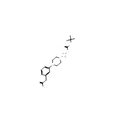 CC(C)(C)OC(=O)NS(=O)(=O)N1CCN(c2cccc(CC(=O)O)c2)CC1